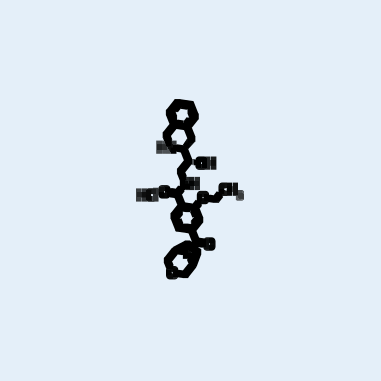 CCOc1cc(C(=O)N2C3CCC2COC3)ccc1C(=O)NC[C@@H](O)[C@@H]1Cc2ccccc2CN1.Cl